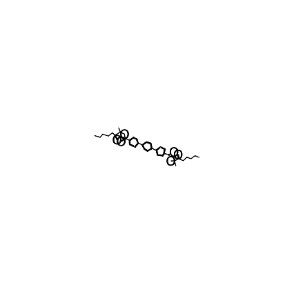 CCCCCC(=O)C(C)OC(=O)c1ccc(-c2ccc(-c3ccc(C(=O)OC(C)C(=O)CCCCC)cc3)cc2)cc1